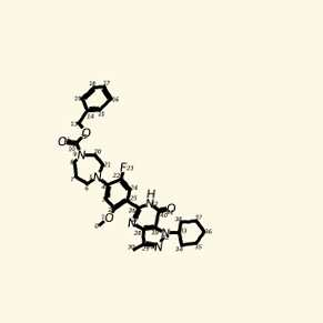 COc1cc(N2CCCN(C(=O)OCc3ccccc3)CC2)c(F)cc1-c1nc2c(C)nn(C3CCCCC3)c2c(=O)[nH]1